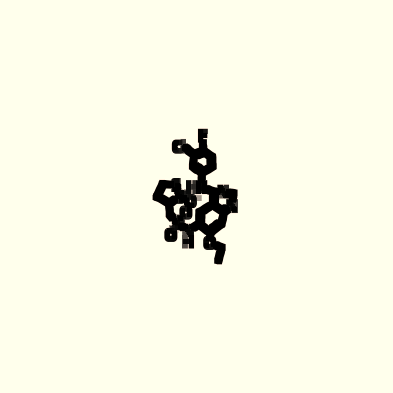 CCOc1cc2ncnc(Nc3ccc(F)c(Cl)c3)c2cc1NS(=O)(=O)CC1CCS[S+]1[O-]